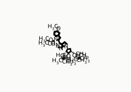 COc1ccc2c(c1)cc(-c1ncnc3c1ccn3[C@@H]1C[C@@H](CO[Si](C)(C)C(C)(C)C)[C@@H](O[Si](C)(C)C(C)(C)C)C1)n2C(=O)OC(C)(C)C